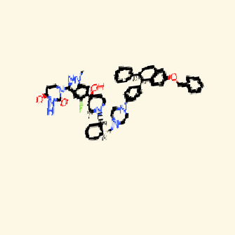 C[C@@H]1CC(O)(c2cc3c(cc2F)c(N2CCC(=O)NC2=O)nn3C)CCN1C[C@@H]1CCCC[C@H]1CN1CCN(c2ccc([C@@H]3c4ccc(OCc5ccccc5)cc4CC[C@@H]3c3ccccc3)cc2)CC1